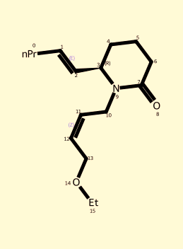 CCC/C=C/[C@H]1CCCC(=O)N1C/C=C\COCC